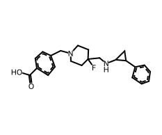 O=C(O)c1ccc(CN2CCC(F)(CNC3CC3c3ccccc3)CC2)cc1